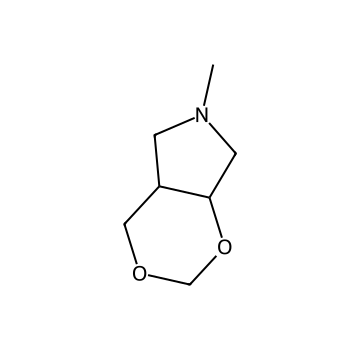 CN1CC2COCOC2C1